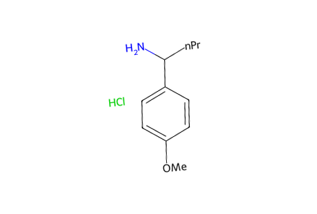 CCCC(N)c1ccc(OC)cc1.Cl